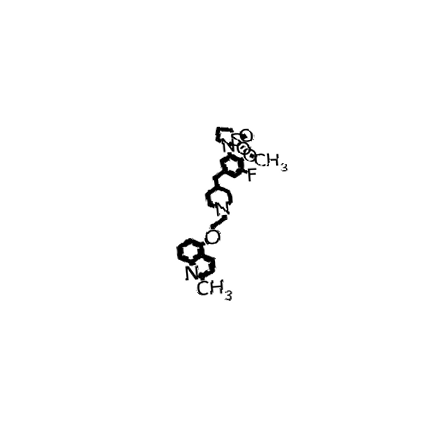 COc1c(F)cc(CC2CCN(CCOc3cccc4nc(C)ccc34)CC2)cc1N1CCCS1(=O)=O